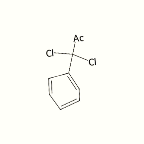 CC(=O)C(Cl)(Cl)c1ccccc1